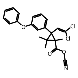 CC1(C)C(C)(C(=O)OC#N)C1(C=C(Cl)Cl)c1cccc(Oc2ccccc2)c1